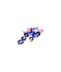 COc1ccnc(-c2nc(C(N)=O)c(Nc3ccc(N4CCC(N5CCN(C)CC5)CC4)cc3)nc2NC2CCOCC2)c1